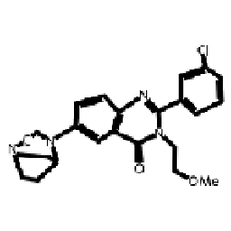 COCCn1c(-c2cccc(Cl)c2)nc2ccc(N3CCN4CCC3CC4)cc2c1=O